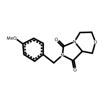 COc1ccc(CN2C(=O)C3COCCN3C2=O)cc1